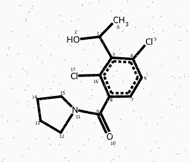 CC(O)c1c(Cl)ccc(C(=O)N2CCCC2)c1Cl